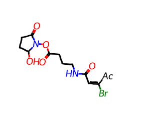 CC(=O)/C(Br)=C\C(=O)NCCCC(=O)ON1C(=O)CCC1O